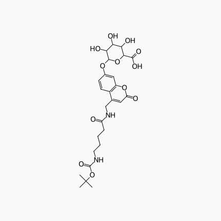 CC(C)(C)OC(=O)NCCCCC(=O)NCc1cc(=O)oc2cc(OC3OC(C(=O)O)C(O)C(O)C3O)ccc12